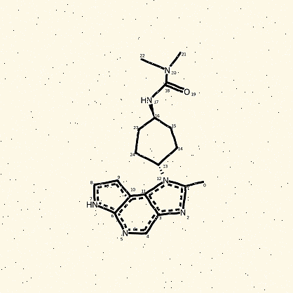 Cc1nc2cnc3[nH]ccc3c2n1[C@H]1CC[C@H](NC(=O)N(C)C)CC1